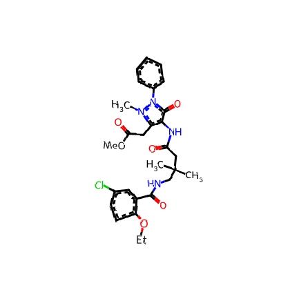 CCOc1ccc(Cl)cc1C(=O)NCC(C)(C)CC(=O)Nc1c(CC(=O)OC)n(C)n(-c2ccccc2)c1=O